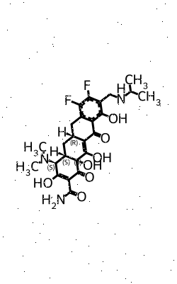 CC(C)NCc1c(O)c2c(c(F)c1F)C[C@H]1C[C@H]3[C@H](N(C)C)C(O)=C(C(N)=O)C(=O)[C@@]3(O)C(O)=C1C2=O